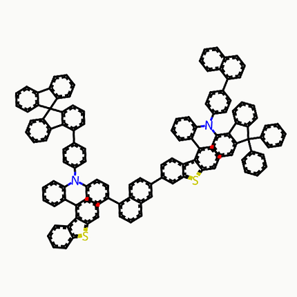 c1ccc(C2(c3ccccc3)c3ccccc3-c3c(N(c4ccc(-c5cccc6ccccc56)cc4)c4ccccc4-c4cccc5sc6cc(-c7ccc8c(-c9ccc(N(c%10ccc(-c%11cccc%12c%11-c%11ccccc%11C%12%11c%12ccccc%12-c%12ccccc%12%11)cc%10)c%10ccccc%10-c%10cccc%11sc%12ccccc%12c%10%11)cc9)cccc8c7)ccc6c45)cccc32)cc1